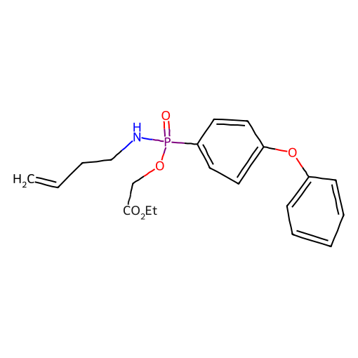 C=CCCNP(=O)(OCC(=O)OCC)c1ccc(Oc2ccccc2)cc1